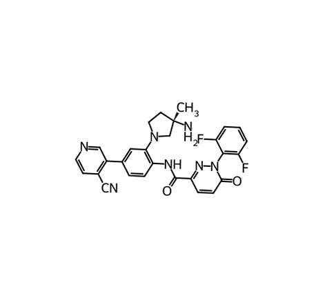 C[C@]1(N)CCN(c2cc(-c3cnccc3C#N)ccc2NC(=O)c2ccc(=O)n(-c3c(F)cccc3F)n2)C1